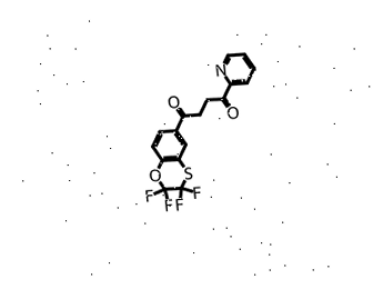 O=C(CCC(=O)c1ccccn1)c1ccc2c(c1)SC(F)(F)C(F)(F)O2